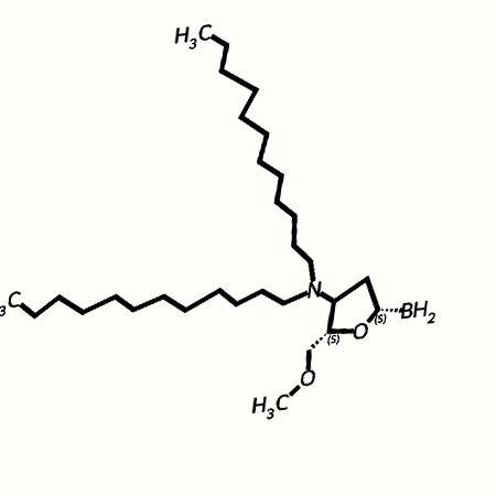 B[C@H]1CC(N(CCCCCCCCCCCC)CCCCCCCCCCCC)[C@@H](COC)O1